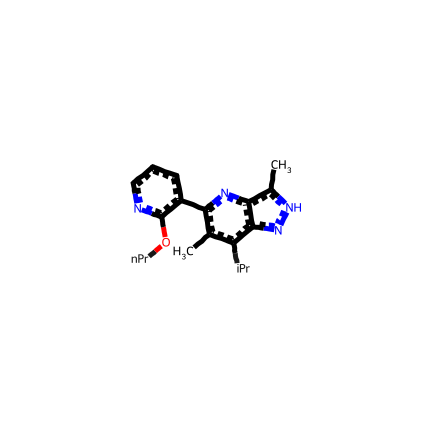 CCCOc1ncccc1-c1nc2c(C)[nH]nc2c(C(C)C)c1C